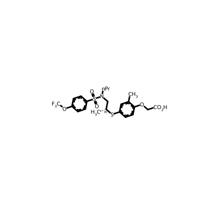 CCCN(C[C@@H](C)Sc1ccc(OCC(=O)O)c(C)c1)S(=O)(=O)c1ccc(OC(F)(F)F)cc1